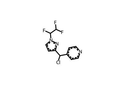 FC(F)C(F)n1ccc(C(Cl)c2ccncc2)n1